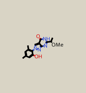 COC(C)c1nc2nn(-c3c(C)cc(C)cc3O)cc2c(=O)[nH]1